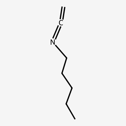 C=C=NCCCCC